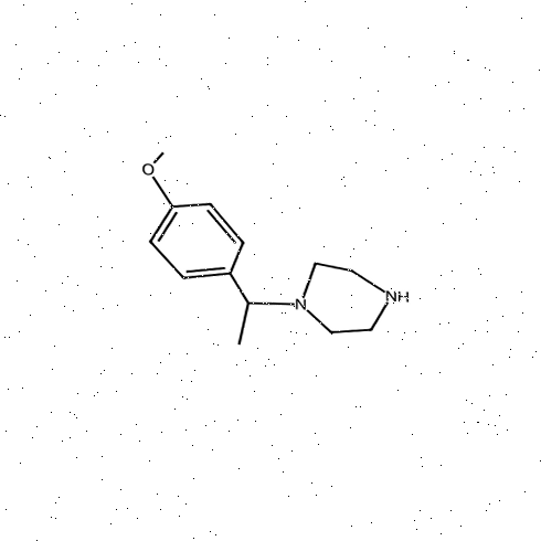 COc1ccc(C(C)N2CCNCC2)cc1